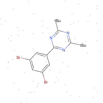 CC(C)(C)c1nc(-c2cc(Br)cc(Br)c2)nc(C(C)(C)C)n1